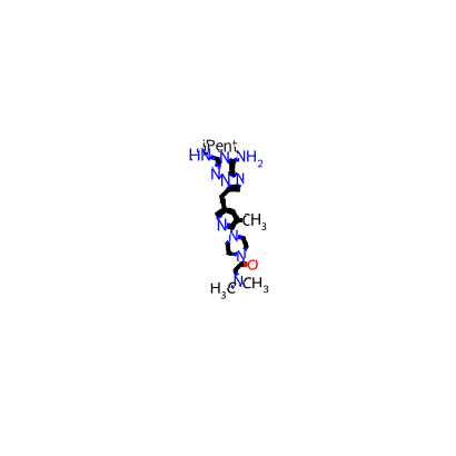 CCCC(C)Nc1nc(N)c2ncc(Cc3cnc(N4CCN(C(=O)CN(C)C)CC4)c(C)c3)n2n1